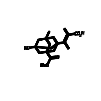 COC(=O)C12CC3(C)CC(C#N)(C1)CC(C(C)=C(C)C(=O)O)(C3)C2